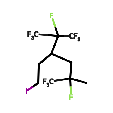 CC(F)(CC(CCI)C(F)(C(F)(F)F)C(F)(F)F)C(F)(F)F